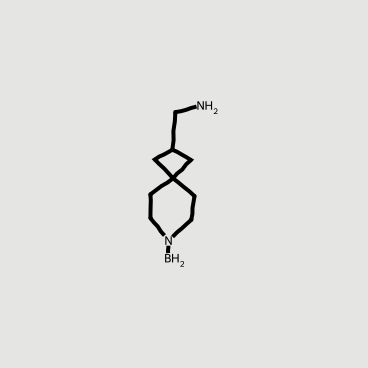 BN1CCC2(CC1)CC(CN)C2